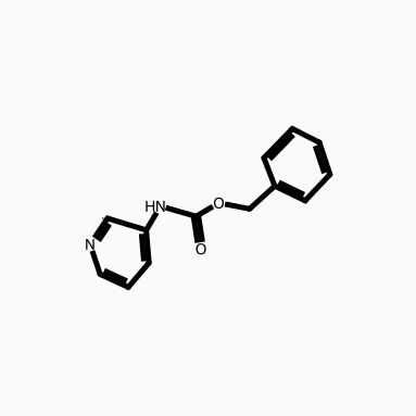 O=C(Nc1[c]nccc1)OCc1ccccc1